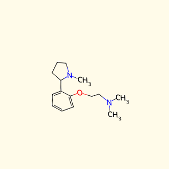 CN(C)CCOc1ccccc1C1CCCN1C